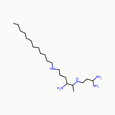 CCCCCCCCCCCCNCCCC(N)C(C)NCCC(N)N